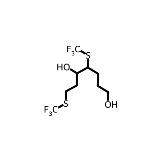 OCCCC(SC(F)(F)F)C(O)CCSC(F)(F)F